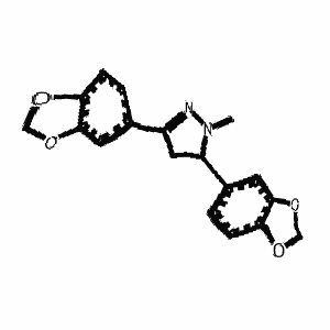 CN1N=C(c2ccc3c(c2)OCO3)CC1c1ccc2c(c1)OCO2